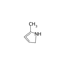 CC1=C=CCN1